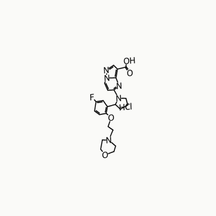 Cl.O=C(O)c1cnn2ccc(N3CCCC3c3cc(F)ccc3OCCN3CCOCC3)nc12